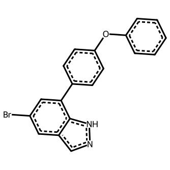 Brc1cc(-c2ccc(Oc3ccccc3)cc2)c2[nH]ncc2c1